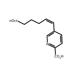 CCCCCCCCCCC/C=C\c1ccc(C(=O)O)nc1